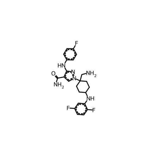 NCC1(n2cc(C(N)=O)c(Nc3ccc(F)cc3)n2)CCC(Nc2cc(F)ccc2F)CC1